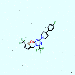 O=c1nc(N2CC=C(c3ccc(F)cc3)CC2)nc(C(F)(F)F)n1Cc1ccc(C(F)(F)F)s1